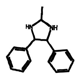 CC1NC(c2ccccc2)C(c2ccccc2)N1